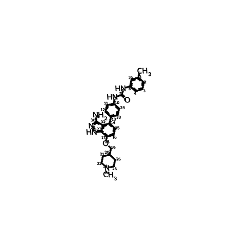 Cc1cccc(NC(=O)Nc2ccc(-c3ccc(OCC4CCN(C)CC4)c4[nH]nc(N)c34)cc2)c1